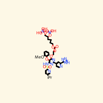 COc1ccccc1Oc1c(NS(=O)(=O)c2ccc(C(C)C)cn2)nc(-c2ccnc(-c3nnn[nH]3)c2)nc1OCCOC(=O)OCCCCC(CON(O)O)ON(O)O